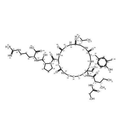 CC[C@H](C)[C@H](NC(=O)CO)C(=O)N[C@@]1(C=O)CCCCNC(=O)C[C@@H](C(=O)N2CCC[C@H]2C(O)N[C@@H](CCCNC(=N)N)C(=O)O)NC(=O)CNC(=O)[C@H](C(C)C)NC(=O)[C@H](Cc2ccc(O)c(F)c2)NC1